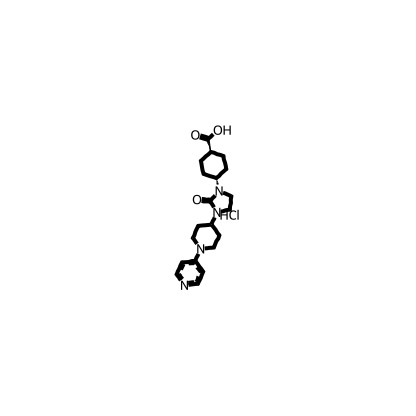 Cl.O=C1N(C2CCN(c3ccncc3)CC2)CCN1[C@H]1CC[C@H](C(=O)O)CC1